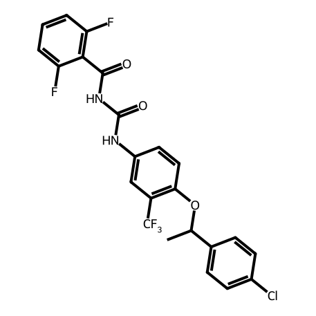 CC(Oc1ccc(NC(=O)NC(=O)c2c(F)cccc2F)cc1C(F)(F)F)c1ccc(Cl)cc1